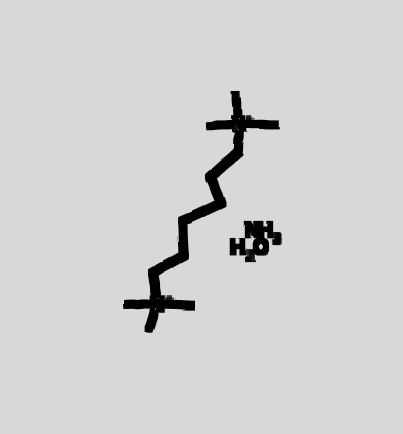 C[N+](C)(C)CCCCCC[N+](C)(C)C.N.O